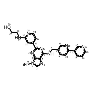 CC(C)n1cnc2c(NCc3ccc(-c4cccnc4)nc3)nc(-c3ccnc(NCCO)c3)nc21